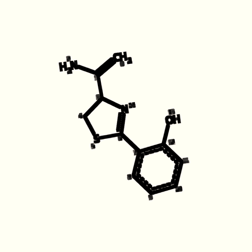 C=C(N)C1CSC(c2ccccc2O)=N1